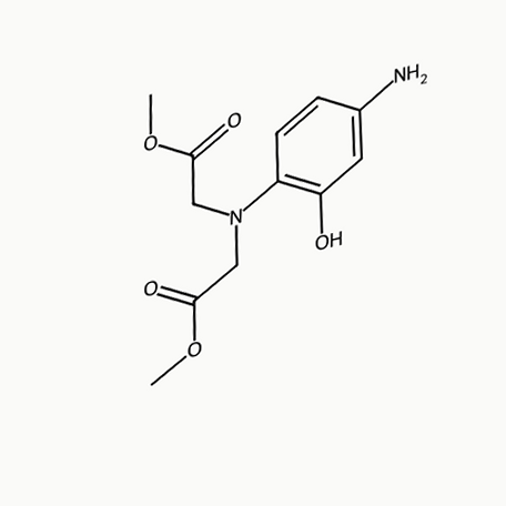 COC(=O)CN(CC(=O)OC)c1ccc(N)cc1O